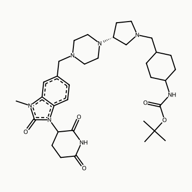 Cn1c(=O)n(C2CCC(=O)NC2=O)c2ccc(CN3CCN([C@@H]4CCN(CC5CCC(NC(=O)OC(C)(C)C)CC5)C4)CC3)cc21